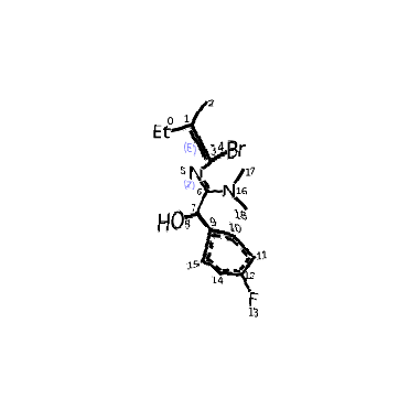 CC/C(C)=C(Br)\N=C(\C(O)c1ccc(F)cc1)N(C)C